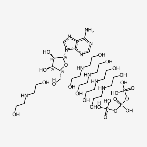 Nc1ncnc2c1ncn2[C@@H]1O[C@H](CO)[C@@H](O)[C@H]1O.O=P(O)(O)OP(=O)(O)OP(=O)(O)O.OCCNCCO.OCCNCCO.OCCNCCO.OCCNCCO.OCCNCCO